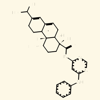 CC(C)C1=CC2=CC[C@@H]3[C@H]([C@@H](C)CC[C@@]3(C)C(=O)Nc3cc(Nc4ccccc4)ncn3)[C@H]2CC1